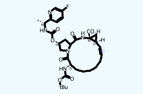 C[C@@H](NC(=O)O[C@@H]1CC2C(=O)N[C@]3(C(=O)O)C[C@H]3/C=C\CCCCC[C@H](NC(=O)OC(C)(C)C)C(=O)N2C1)c1ccc(F)cn1